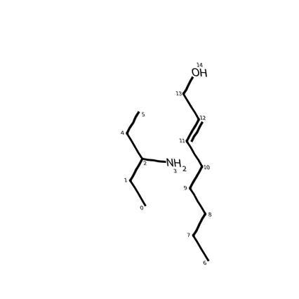 CCC(N)CC.CCCCC/C=C/CO